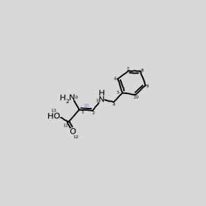 N/C(=C\NCc1ccccc1)C(=O)O